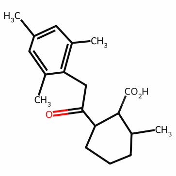 Cc1cc(C)c(CC(=O)C2CCCC(C)C2C(=O)O)c(C)c1